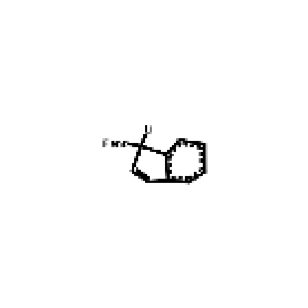 [Li][C]1(C(C)CCC)C=Cc2ccccc21